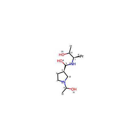 CC(C)[C@@H](NC(O)[C@@H]1CCN(C(C)O)C1)C(C)O